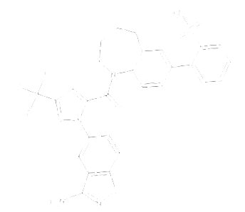 Nc1noc2ccc(-n3nc(C(F)(F)F)cc3C(=O)N3CCCCc4cc(-c5ccccc5S(N)(=O)=O)ccc43)cc12